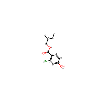 CCC(C)COC(=O)c1ccc(O)cc1F